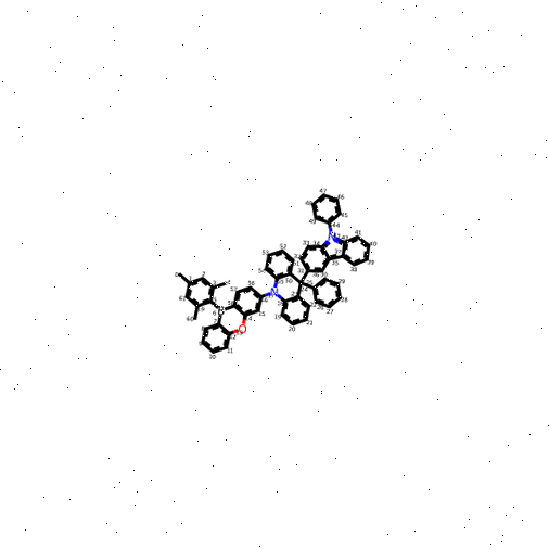 Cc1cc(C)c(B2c3ccccc3Oc3cc(N4c5ccccc5C(c5ccccc5)(c5ccc6c(c5)c5ccccc5n6-c5ccccc5)c5ccccc54)ccc32)c(C)c1